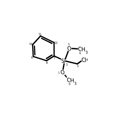 CO[Si](CCl)(OC)c1ccccc1